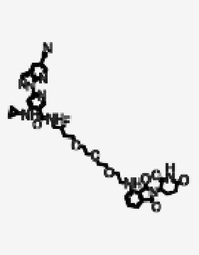 N#Cc1cnc2c(cnn2-c2cc(NC3CC3)c(C(=O)NCC(F)CCOCCOCCOCCNc3cccc4c3C(=O)N(C3CCC(=O)NC3=O)C4=O)cn2)c1